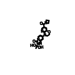 CC(O)(O)n1nc2cc(N3CCOc4cc(C(=O)N5CCC5)cnc43)ccn2c1=O